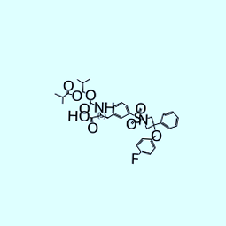 CC(C)C(=O)OC(OC(=O)N[C@@H](Cc1cccc(S(=O)(=O)N2CC(Oc3ccc(F)cc3)(c3ccccc3)C2)c1)C(=O)O)C(C)C